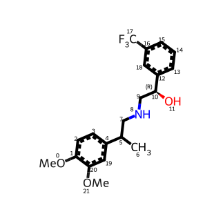 COc1ccc(C(C)CNC[C@H](O)c2cccc(C(F)(F)F)c2)cc1OC